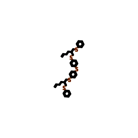 C=CCCC(CSc1ccccc1)CSc1ccc(Sc2ccc(SCC(CCC=C)CSc3ccccc3)cc2)cc1